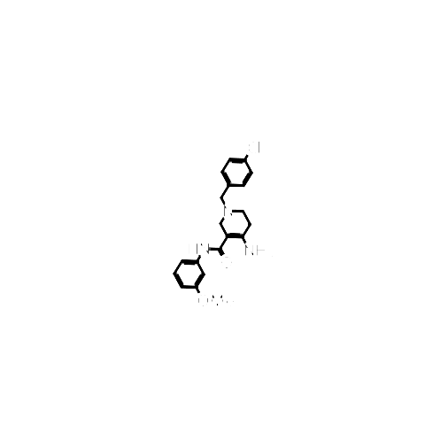 COc1cccc(NC(=O)C2=C(N)CCN(Cc3ccc(Cl)cc3)C2)c1